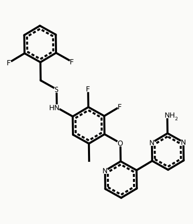 Cc1cc(NSCc2c(F)cccc2F)c(F)c(F)c1Oc1ncccc1-c1ccnc(N)n1